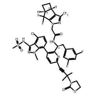 Cn1nc(NS(C)(=O)=O)c2c(Cl)ccc(-c3ccc(C#CC(C)(C)N4CCOC4=O)nc3[C@H](Cc3cc(F)cc(F)c3)NC(=O)Cn3nc(C(F)(F)F)c4c3C(F)(F)[C@@H]3CC[C@H]43)c21